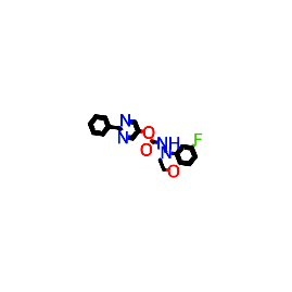 O=C(NN1CCOc2ccc(F)cc21)Oc1cnc(-c2ccccc2)nc1